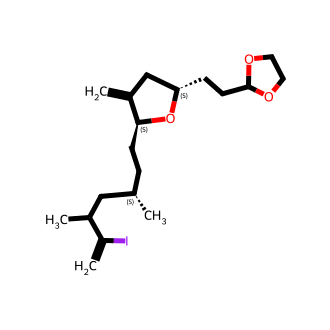 C=C(I)C(C)C[C@@H](C)CC[C@@H]1O[C@@H](CCC2OCCO2)CC1=C